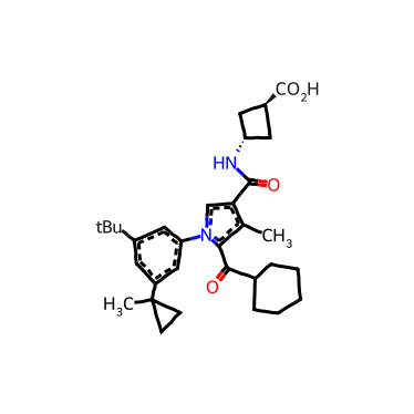 Cc1c(C(=O)N[C@H]2C[C@H](C(=O)O)C2)cn(-c2cc(C(C)(C)C)cc(C3(C)CC3)c2)c1C(=O)C1CCCCC1